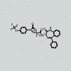 CN1C(=O)[C@@H](NC(=O)[C@@]2(C)n3c(=O)n(-c4ccc(OC(F)(F)F)cc4)n32)N=C(c2ccccc2)c2ccccc21